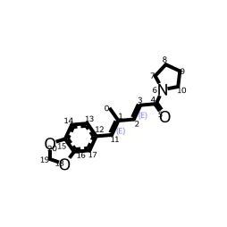 CC(/C=C/C(=O)N1CCCC1)=C\c1ccc2c(c1)OCO2